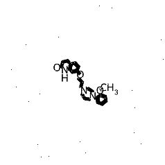 COc1ccccc1N1CCCN(CCCOc2ccc3c(c2)NC(=O)CC3)CC1